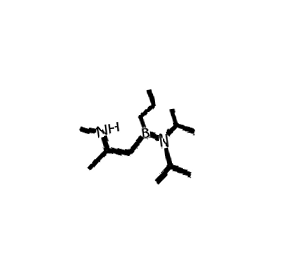 CCCB(CC(C)NC)N(C(C)C)C(C)C